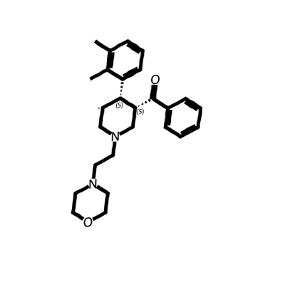 Cc1cccc([C@H]2[CH]CN(CCN3CCOCC3)C[C@H]2C(=O)c2ccccc2)c1C